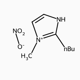 CCCCc1[nH]cc[n+]1C.O=[N+]([O-])[O-]